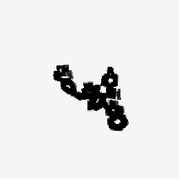 COc1ccc(Cn2ncc3c(NC4CCOCC4)c(C4=NOC5(CCCCC5)C4)cnc32)cc1